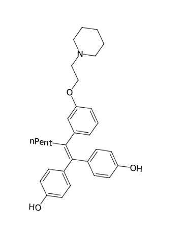 CCCCCC(=C(c1ccc(O)cc1)c1ccc(O)cc1)c1cccc(OCCN2CCCCC2)c1